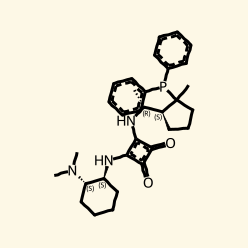 C[C@@H](Nc1c(N[C@H]2CCCC[C@@H]2N(C)C)c(=O)c1=O)[C@@H]1CCCC1(C)P(c1ccccc1)c1ccccc1